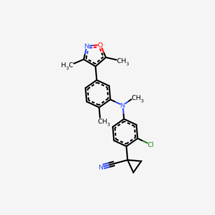 Cc1ccc(-c2c(C)noc2C)cc1N(C)c1ccc(C2(C#N)CC2)c(Cl)c1